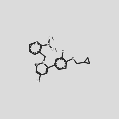 [2H]C1=CNN(Cc2cccnc2N(C)C)C(c2ccc(OCC3CC3)c(Cl)c2)=C1